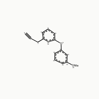 C#C[CH]c1cccc(Oc2cccc(OC)c2)n1